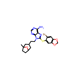 CC12CCC(CC(CCn3c(Sc4cc5c(cc4Br)OCO5)nc4c(N)ncnc43)C1)O2